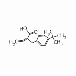 C=C=C(Cc1ccc(C(C)(C)C)cc1)C(=O)O